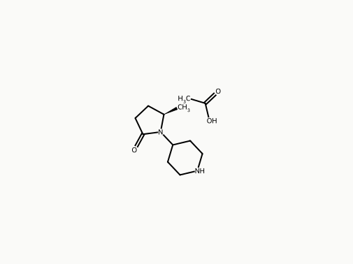 CC(=O)O.C[C@@H]1CCC(=O)N1C1CCNCC1